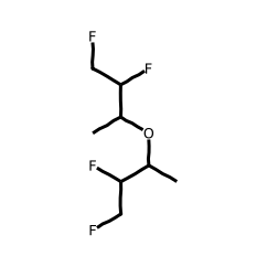 CC(OC(C)C(F)CF)C(F)CF